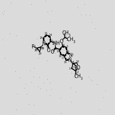 CC(C)Oc1cc2nn(C34COC(C)(C3)C4)cc2cc1C(=O)Nc1cccn([C@H]2C[C@H]2F)c1=O